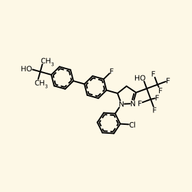 CC(C)(O)c1ccc(-c2ccc(C3CC(C(O)(C(F)(F)F)C(F)(F)F)=NN3c3ccccc3Cl)c(F)c2)cc1